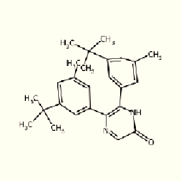 Cc1cc(-c2ncc(=O)[nH]c2-c2cc(C)cc(C(C)(C)C)c2)cc(C(C)(C)C)c1